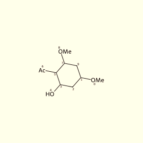 COC1CC(O)C(C(C)=O)C(OC)C1